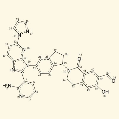 Nc1ncccc1-c1nc2ccc(-n3cccn3)nc2n1-c1ccc2c(c1)CC[C@@H]2N1CCc2cc(O)c(C=O)cc2C1=O